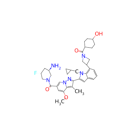 COc1cc(C(=O)N2C[C@H](N)C[C@@H](F)C2)cn2nc(-c3cc4cccc(C5CN(C(=O)C6CCC(O)CC6)C5)c4n3CC3CC3)c(C)c12